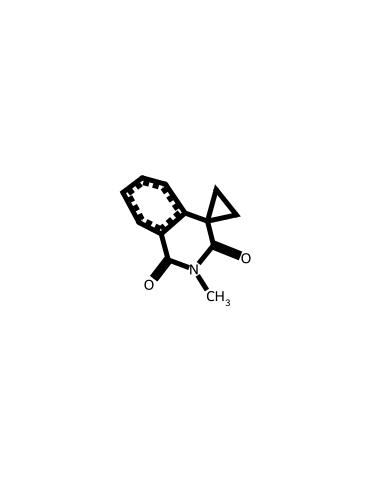 CN1C(=O)c2ccccc2C2(CC2)C1=O